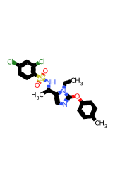 CCn1c(C(C)NS(=O)(=O)c2ccc(Cl)cc2Cl)cnc1Oc1ccc(C)cc1